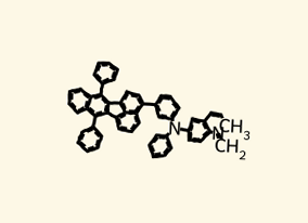 C=Nc1ccc(N(c2ccccc2)c2cccc(-c3ccc4c5c(cccc35)-c3c-4c(-c4ccccc4)c4ccccc4c3-c3ccccc3)c2)cc1/C=C\C